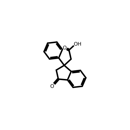 O=C(O)CC1(c2ccccc2)CC(=O)c2ccccc21